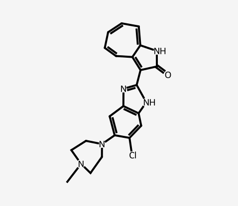 CN1CCN(c2cc3nc(-c4c5cccccc-5[nH]c4=O)[nH]c3cc2Cl)CC1